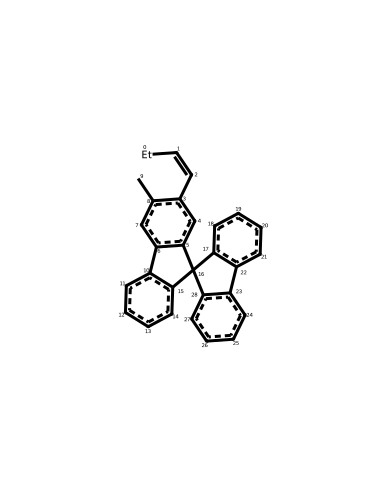 CC/C=C\c1cc2c(cc1C)-c1ccccc1C21c2ccccc2-c2ccccc21